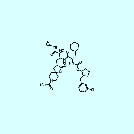 CC(C)(C)C(=O)N1CCC2(CC1)CC(CC(NC(=O)[C@H](CC1CCCCC1)NC(=O)OC1CCCC1Cc1cccc(Cl)c1)C(O)C(=O)NC1CC1)C(=O)N2